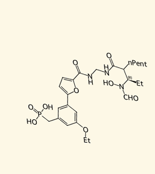 CCCCCC(C(=O)NCNC(=O)c1ccc(-c2cc(CP(=O)(O)O)cc(OCC)c2)o1)[C@@H](CC)N(O)C=O